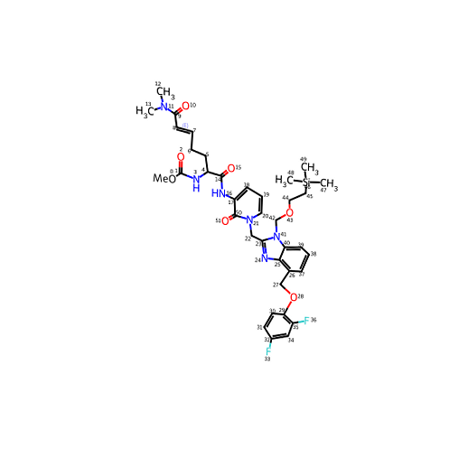 COC(=O)NC(CC/C=C/C(=O)N(C)C)C(=O)Nc1cccn(Cc2nc3c(COc4ccc(F)cc4F)cccc3n2COCC[Si](C)(C)C)c1=O